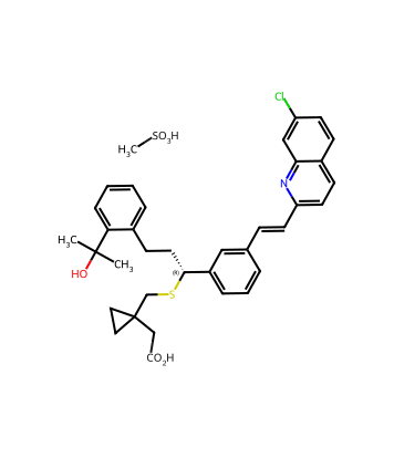 CC(C)(O)c1ccccc1CC[C@@H](SCC1(CC(=O)O)CC1)c1cccc(C=Cc2ccc3ccc(Cl)cc3n2)c1.CS(=O)(=O)O